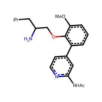 COc1cccc(-c2ccnc(NC(C)=O)c2)c1OCC(N)CC(C)C